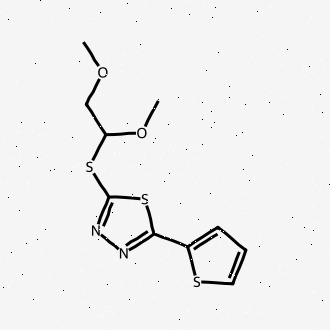 COCC(OC)Sc1nnc(-c2cccs2)s1